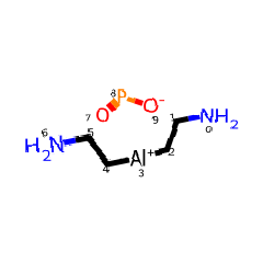 NC[CH2][Al+][CH2]CN.O=P[O-]